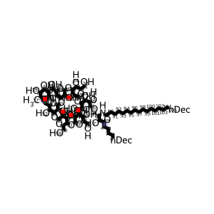 CCCCCCCCCCCCC/C=C/[C@@H](O)[C@H](CO[C@@H]1OC(CO)[C@@H](O[C@@H]2OC(CO)[C@H](O)[C@H](O[C@@H]3OC(CO)[C@@H](O[C@H]4OC(C)[C@@H](O)C(O)[C@@H]4O)[C@H](O[C@@H]4OC(CO)[C@H](O)[C@H](O[C@@H]5OC(CO)[C@@H](O[C@@H]6OC(CO)[C@H](O)[C@H](O)C6O)[C@H](O)C5NC(C)=O)C4O)C3NC(C)=O)C2O)[C@H](O)C1O)NC(=O)CCCCCCCCCCCCCCCCCCCCCCCCC